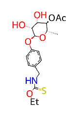 CCOC(=S)NCc1ccc(O[C@@H]2O[C@@H](C)[C@H](OC(C)=O)[C@@H](O)[C@H]2O)cc1